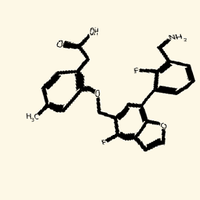 Cc1ccc(CC(=O)O)c(OCc2cc(-c3cccc(CN)c3F)c3occc3c2F)c1